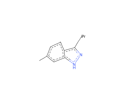 Cc1ccc2c(C(C)C)n[nH]c2c1